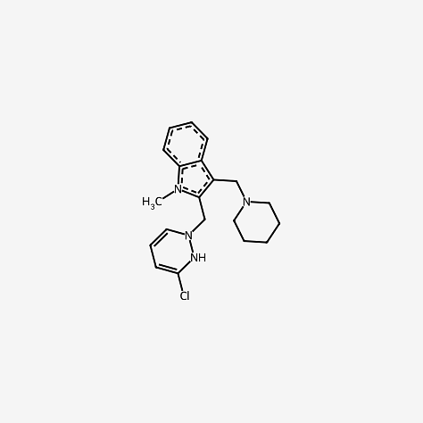 Cn1c(CN2C=CC=C(Cl)N2)c(CN2CCCCC2)c2ccccc21